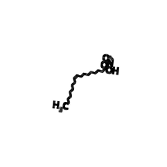 C1=NCCO1.CCCCCCCC/C=C\CCCCCCCC(=O)O